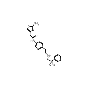 CC(=O)O[C@H](CNCCc1ccc(NC(=O)Cc2csc(N)n2)cc1)c1ccccc1